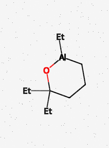 C[CH2][Al]1[CH2]CCC(CC)(CC)[O]1